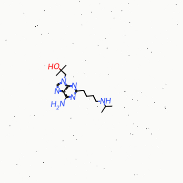 CC(C)NCCCCc1nc(N)c2ncn(CC(C)(C)O)c2n1